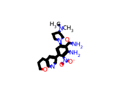 CN(C)C1CCN(c2cc(-c3cnc4c(c3)CCCO4)c([N+](=O)[O-])c(N)c2C(N)=O)C1